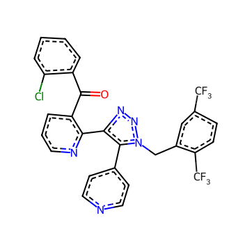 O=C(c1ccccc1Cl)c1cccnc1-c1nnn(Cc2cc(C(F)(F)F)ccc2C(F)(F)F)c1-c1ccncc1